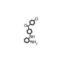 Nc1ccccc1Nc1ccc(C(=O)c2ccc(Cl)cc2)cc1